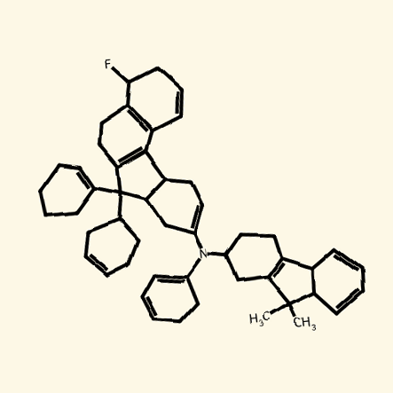 CC1(C)C2=C(CCC(N(C3=CC=CCC3)C3=CCC4C5=C(CCC6=C5C=CCC6F)C(C5=CCCCC5)(C5CC=CCC5)C4C3)C2)C2C=CC=CC21